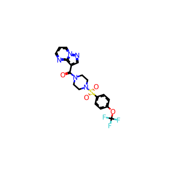 O=C(c1cnn2cccnc12)N1CCN(S(=O)(=O)c2ccc(OC(F)(F)F)cc2)CC1